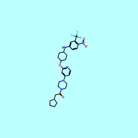 O=C(CC1CCCC1)N1CCN(c2ccnc(OC3CCC(Nc4ccc([N+](=O)[O-])c(C(F)(F)F)c4)CC3)c2)CC1